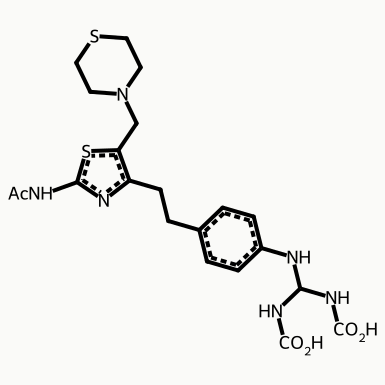 CC(=O)Nc1nc(CCc2ccc(NC(NC(=O)O)NC(=O)O)cc2)c(CN2CCSCC2)s1